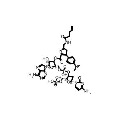 C=CCCC(=O)NCC1=NC(C(=O)OC2[C@@H](COP(=O)(O)OC3C[C@H](n4ccc(N)nc4=O)O[C@@H]3COP(=O)(O)O)O[C@@H](n3cnc4c(N)ncnc43)[C@H]2O)=C(c2ccc(N(C)C)cc2)C1